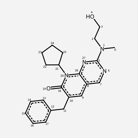 CN(CCO)c1ncc2cc(Cc3ccccc3)c(=O)n(C3CCCC3)c2n1